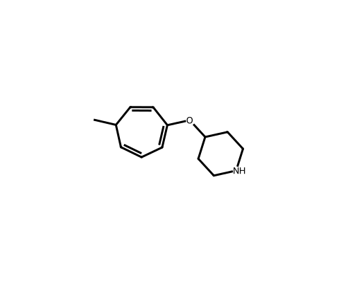 CC1C=CC=C(OC2CCNCC2)C=C1